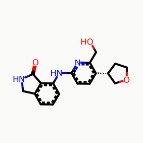 O=C1NCc2cccc(Nc3ccc([C@@H]4CCOC4)c(CO)n3)c21